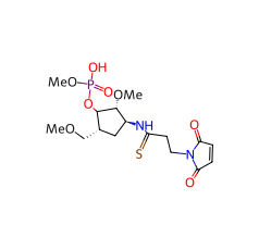 COC[C@H]1C[C@H](NC(=S)CCN2C(=O)C=CC2=O)[C@@H](OC)C1OP(=O)(O)OC